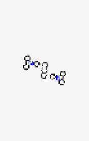 C1=CC2Cc3c(cccc3-c3ccc(-n4c5ccccc5c5ccccc54)cc3)CC2C(c2ccc(-n3c4ccccc4c4ccccc43)cc2)=C1